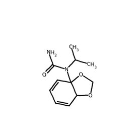 CC(C)N(C(N)=O)C12C=CC=CC1OCO2